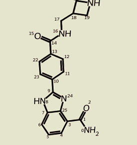 NC(=O)c1cccc2[nH]c(-c3ccc(C(=O)NCC4CNC4)cc3)nc12